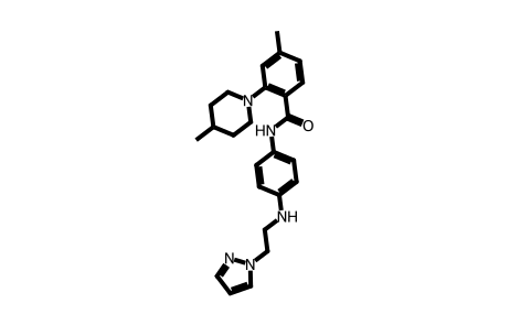 Cc1ccc(C(=O)Nc2ccc(NCCn3cccn3)cc2)c(N2CCC(C)CC2)c1